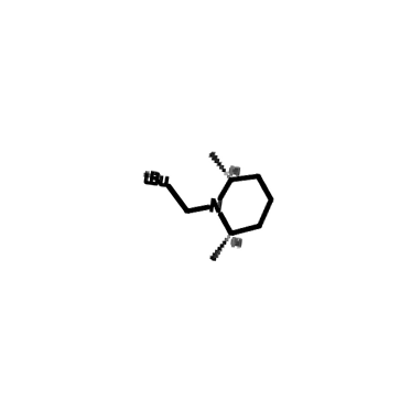 C[C@@H]1CCC[C@H](C)N1CC(C)(C)C